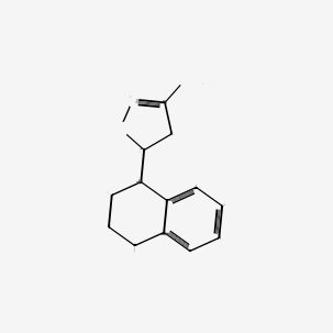 CC1=NOC(C2CCCc3ccccc32)C1